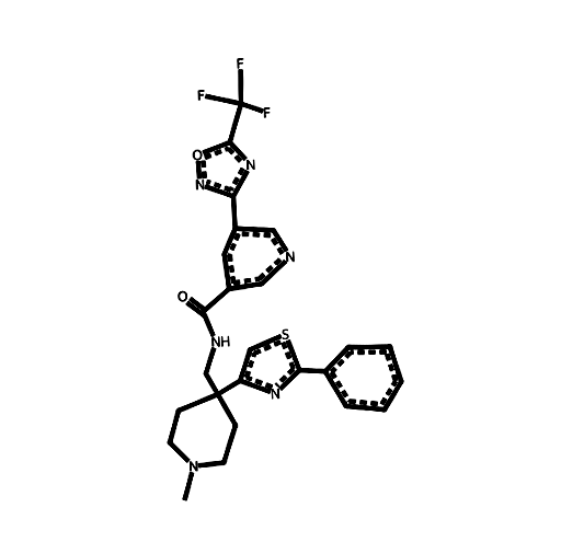 CN1CCC(CNC(=O)c2cncc(-c3noc(C(F)(F)F)n3)c2)(c2csc(-c3ccccc3)n2)CC1